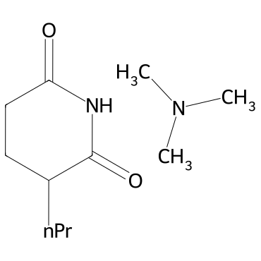 CCCC1CCC(=O)NC1=O.CN(C)C